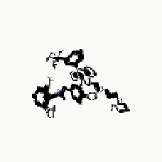 C/C(=C\c1ccc2c(c1)N(S(=O)(=O)c1cccc(C(F)(F)F)c1)C[C@H](CCCn1cccn1)O2)c1c(F)cccc1Cl